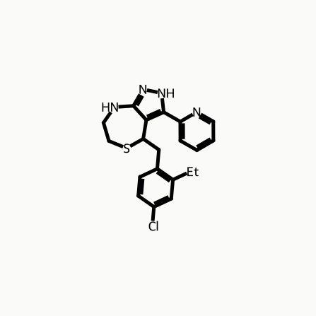 CCc1cc(Cl)ccc1CC1SCCNc2n[nH]c(-c3ccccn3)c21